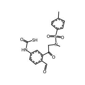 Cc1ccc(S(=O)(=O)N(C)CC(=O)c2cc(NC(=O)S)ccc2C=O)cc1